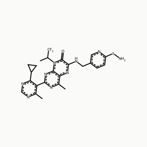 Cc1ncnc(C2CC2)c1-c1nc(C)c2nc(NCc3ccc(SN)nc3)c(=O)n(C(C)C(F)(F)F)c2n1